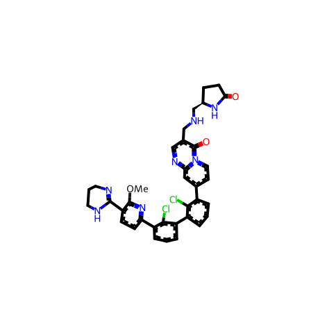 COc1nc(-c2cccc(-c3cccc(-c4ccn5c(=O)c(CNC[C@H]6CCC(=O)N6)cnc5c4)c3Cl)c2Cl)ccc1C1=NCCCN1